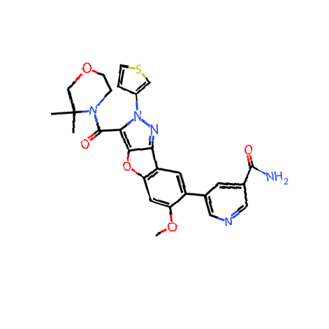 COc1cc2oc3c(C(=O)N4CCOCC4(C)C)n(-c4ccsc4)nc3c2cc1-c1cncc(C(N)=O)c1